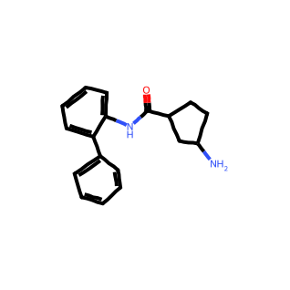 NC1CCC(C(=O)Nc2ccccc2-c2ccccc2)C1